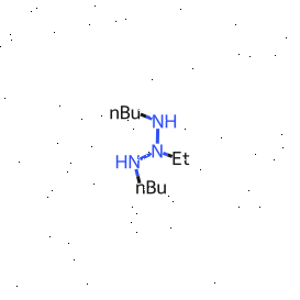 CCCCNN(CC)NCCCC